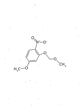 COCOc1cc(OC)ccc1[N+](=O)[O-]